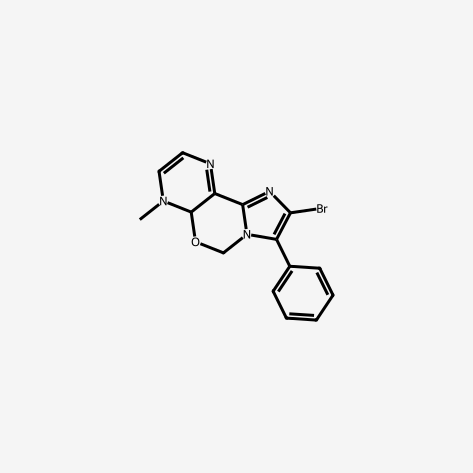 CN1C=CN=C2c3nc(Br)c(-c4ccccc4)n3COC21